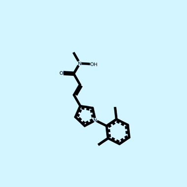 Cc1cccc(C)c1-n1ccc(C=CC(=O)N(C)O)c1